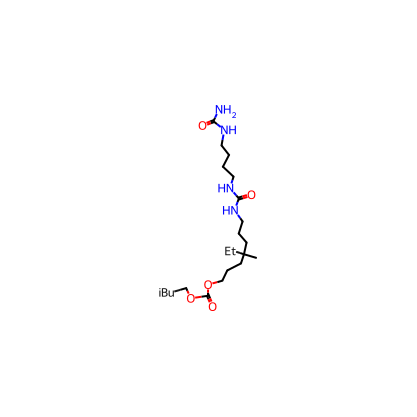 CCC(C)COC(=O)OCCCC(C)(CC)CCCNC(=O)NCCCCNC(N)=O